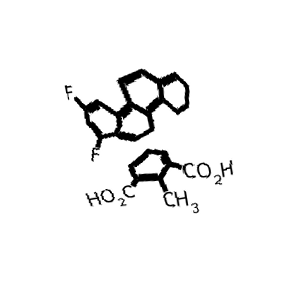 Cc1c(C(=O)O)cccc1C(=O)O.Fc1cc(F)c2c(c1)=c1ccc3c(c1CC=2)CCCC=3